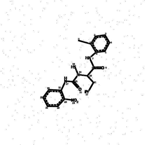 Cc1ccccc1NC(=O)C(CC(C)C)N(S)C(=O)Nc1ccccc1[N+](=O)[O-]